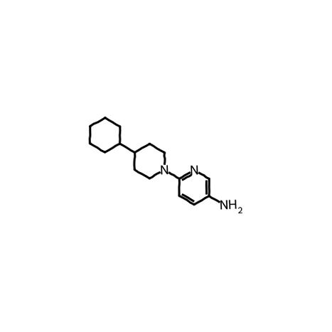 Nc1ccc(N2CCC(C3CCCCC3)CC2)nc1